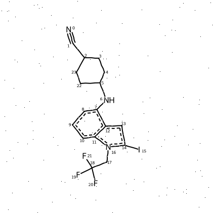 N#CC1CCC(Nc2cccc3c2cc(I)n3CC(F)(F)F)CC1